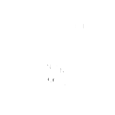 CC1CCCCC2/C(=N/C(C)C)N(C(C)C)CCC2CCC1